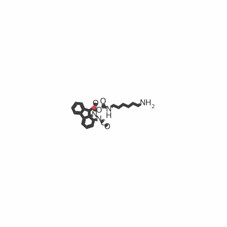 NCCCCCCNC(=O)OCC1c2ccccc2C2=CC=CC(N=C=O)C21N=C=O